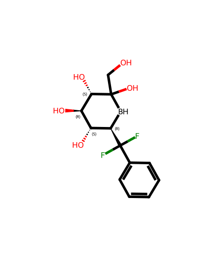 OCC1(O)B[C@@H](C(F)(F)c2ccccc2)[C@H](O)[C@@H](O)[C@@H]1O